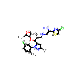 CCc1cc(C(OC2COC2C)[C@H](CN/C=C(\N)c2nc(Cl)cs2)OC)n(-c2cc(Cl)ccc2C(F)(F)F)n1